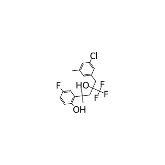 Cc1cc(Cl)cc(CC(O)(CC(C)(C)c2cc(F)ccc2O)C(F)(F)F)c1